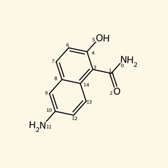 NC(=O)c1c(O)ccc2cc(N)ccc12